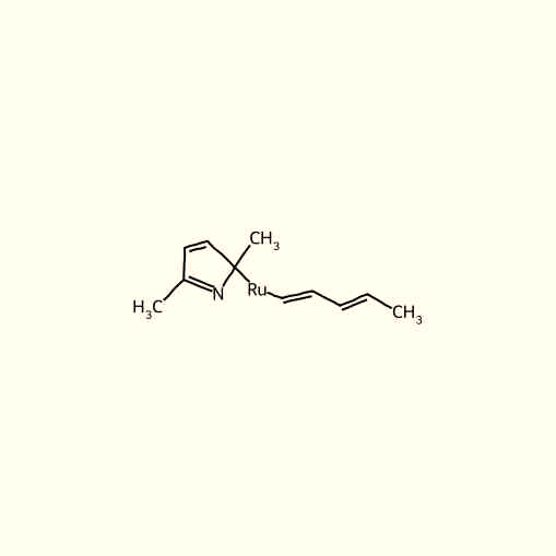 CC=CC=[CH][Ru][C]1(C)C=CC(C)=N1